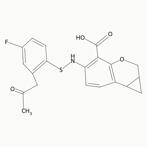 CC(=O)Cc1cc(F)ccc1SNc1ccc2c(c1C(=O)O)OCC1CC21